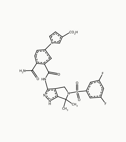 CC1(C)c2[nH]nc(NC(=O)c3cc(-n4ccc(C(=O)O)c4)ccc3C(N)=O)c2CN1S(=O)(=O)c1cc(F)cc(F)c1